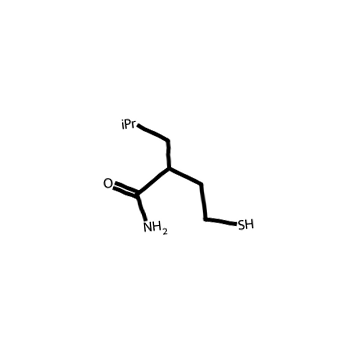 CC(C)CC(CCS)C(N)=O